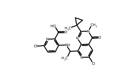 CC(Nc1ccc(Cl)nc1C(=O)O)c1nc(Cl)cc2c(=O)n(C)c(C3(C)CC3)nc12